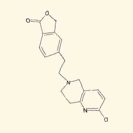 O=C1OCc2cc(CCN3CCc4nc(Cl)ccc4C3)ccc21